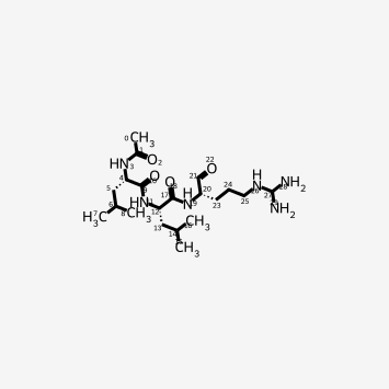 CC(=O)N[C@@H](CC(C)C)C(=O)N[C@@H](CC(C)C)C(=O)N[C@H](C=O)CCCNC(N)N